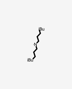 CCC(C)CCC[N]CCCC(C)CC